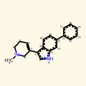 CN1CCC=C(c2c[nH]c3cc(-c4ccccc4)ccc23)C1